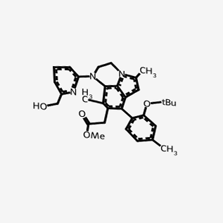 COC(=O)Cc1c(C)c2c3c(cc(C)n3CCN2c2cccc(CO)n2)c1-c1ccc(C)cc1OC(C)(C)C